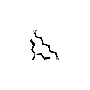 BrCCCCCCBr.C=CCN(C)CC=C